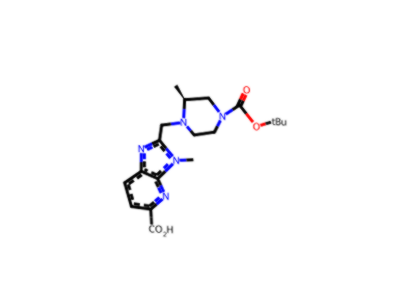 C[C@H]1CN(C(=O)OC(C)(C)C)CCN1Cc1nc2ccc(C(=O)O)nc2n1C